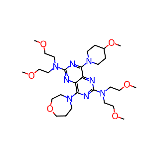 COCCN(CCOC)c1nc(N2CCC(OC)CC2)c2nc(N(CCOC)CCOC)nc(N3CCCOCC3)c2n1